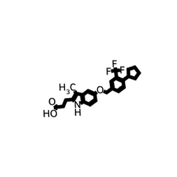 Cc1c(CCC(=O)O)[nH]c2ccc(OCc3ccc(C4CCCC4)c(C(F)(F)F)c3)cc12